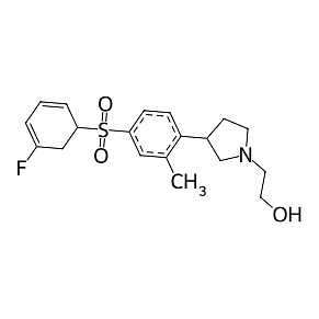 Cc1cc(S(=O)(=O)C2C=CC=C(F)C2)ccc1C1CCN(CCO)C1